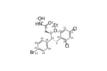 CCO[C@H](CC(=O)NO)[C@H](Cc1ccc(Cl)cc1Cl)c1ccc(Br)cc1